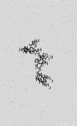 CC(C)(C)c1ccc(C(=O)NCCC[C@H](NC(=O)c2ccc(CCc3cnc4nc(N)nc(N)c4n3)cc2O)C(=O)O)c(-c2nn[nH]n2)c1